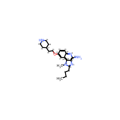 CCCCc1nc2c(N)nc3ccc(OCCC4CCNCC4)cc3c2n1C